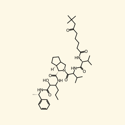 CCCC(NC(=O)[C@@H]1[C@H]2CCCC2CN1C(=O)C(NC(=O)[C@@H](NC(=O)CCCCC(=O)CC(C)(C)C)C(C)C)C(C)C)C(O)C(=O)N[C@@H](C)c1ccccc1